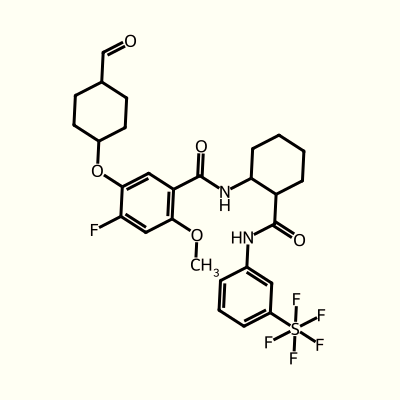 COc1cc(F)c(OC2CCC(C=O)CC2)cc1C(=O)NC1CCCCC1C(=O)Nc1cccc(S(F)(F)(F)(F)F)c1